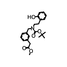 COC(=O)Cc1cccc(CN(CCc2ccccc2O)C(=O)OC(C)(C)C)c1